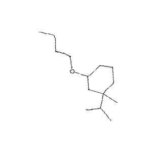 CCCCOC1CCCC(C)(C(C)C)C1